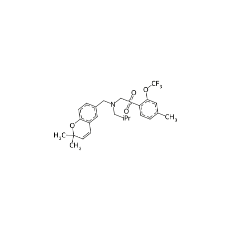 Cc1ccc(S(=O)(=O)CN(Cc2ccc3c(c2)C=CC(C)(C)O3)CC(C)C)c(OC(F)(F)F)c1